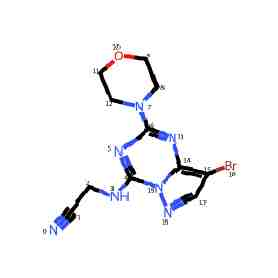 N#CCNc1nc(N2CCOCC2)nc2c(Br)cnn12